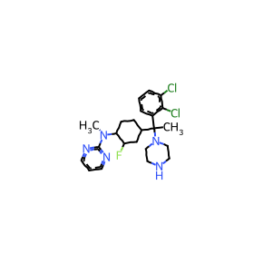 CN(c1ncccn1)C1CCC(C(C)(c2cccc(Cl)c2Cl)N2CCNCC2)CC1F